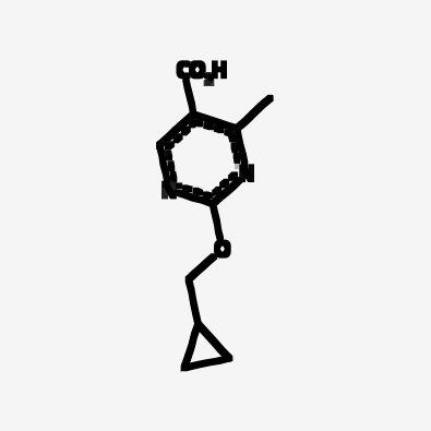 Cc1nc(OCC2CC2)ncc1C(=O)O